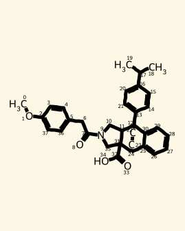 COc1ccc(CC(=O)N2CC3C4(c5ccc(C(C)C)cc5)CCC(c5ccccc54)C3(C(=O)O)C2)cc1